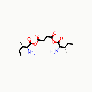 CC[C@H](C)[C@H](N)C(=O)OC(=O)CCC(=O)OC(=O)[C@@H](N)[C@@H](C)CC